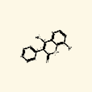 O=c1[nH]c2c(Br)cccc2c(O)c1-c1ccccc1